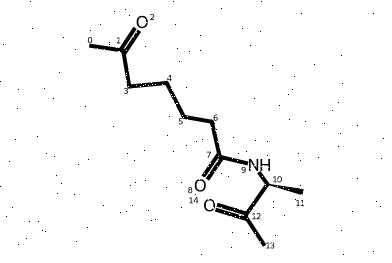 CC(=O)CCCCC(=O)N[C@@H](C)C(C)=O